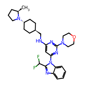 C[C@@H]1CCCN1[C@H]1CC[C@H](CNc2cc(-n3c(C(F)F)nc4ccccc43)nc(N3CCOCC3)n2)CC1